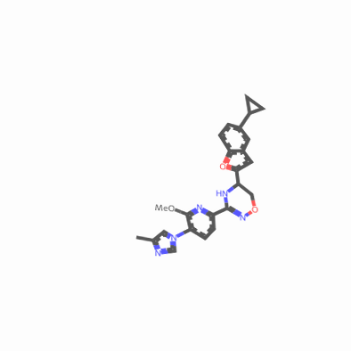 COc1nc(C2=NOCC(c3cc4cc(C5CC5)ccc4o3)N2)ccc1-n1cnc(C)c1